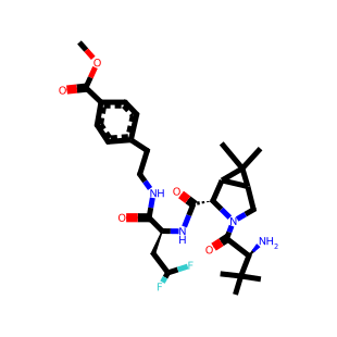 COC(=O)c1ccc(CCNC(=O)[C@H](CC(F)F)NC(=O)[C@@H]2C3C(CN2C(=O)[C@@H](N)C(C)(C)C)C3(C)C)cc1